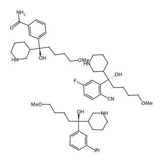 COCCCC[C@@](O)(c1cc(F)ccc1C#N)C1CCCNC1.COCCCC[C@@](O)(c1cccc(C(C)C)c1)C1CCCNC1.COCCCC[C@@](O)(c1cccc(C(N)=O)c1)C1CCCNC1